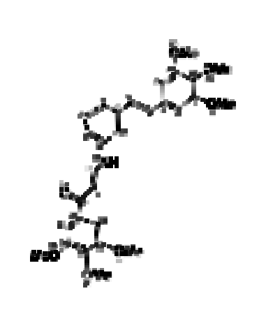 COc1cc(C=Cc2cccc(NC=CC(=O)c3cc(OC)c(OC)c(OC)c3)c2)cc(OC)c1OC